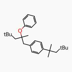 CC(C)(C)CC(C)(Cc1ccc(C(C)(C)CC(C)(C)C)cc1)Oc1ccccc1